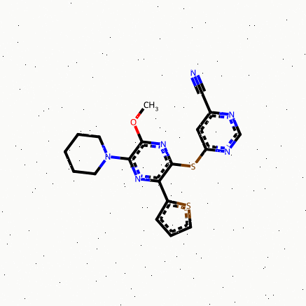 COc1nc(Sc2cc(C#N)ncn2)c(-c2cccs2)nc1N1CCCCC1